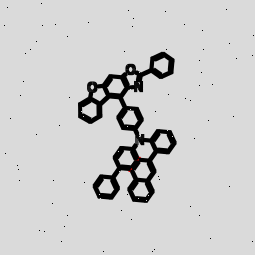 c1ccc(-c2ccc(N(c3ccc(-c4c5nc(-c6ccccc6)oc5cc5oc6ccccc6c45)cc3)c3ccccc3-c3ccc4ccccc4c3)cc2)cc1